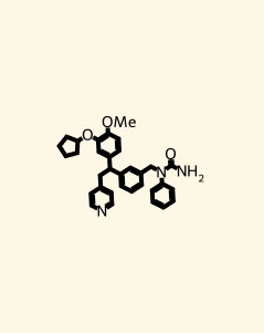 COc1ccc(C(Cc2ccncc2)c2cccc(CN(C(N)=O)c3ccccc3)c2)cc1OC1CCCC1